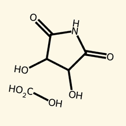 O=C(O)O.O=C1NC(=O)C(O)C1O